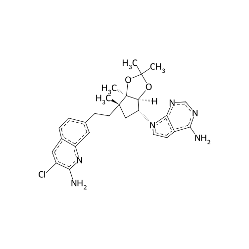 CC1(C)O[C@H]2[C@H](n3ccc4c(N)ncnc43)C[C@](C)(CCc3ccc4cc(Cl)c(N)nc4c3)[C@@]2(C)O1